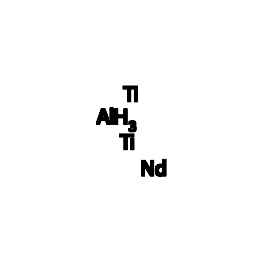 [AlH3].[Nd].[Ti].[Ti]